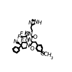 COc1ccc(CC(C(=O)N2CCC(C#N)(c3ccccc3)CC2)N(OC(=O)C(F)(F)F)C(=O)NCCc2c[nH]cn2)cc1